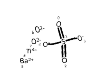 O=S(=O)([O-])[O-].[Ba+2].[O-2].[O-2].[Ti+4]